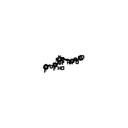 Cl.O=C(OC1CNC(C#Cc2cc3ncnc(Nc4ccc(OCc5cccc(F)c5)c(F)c4)c3s2)C1)N1CCOCC1